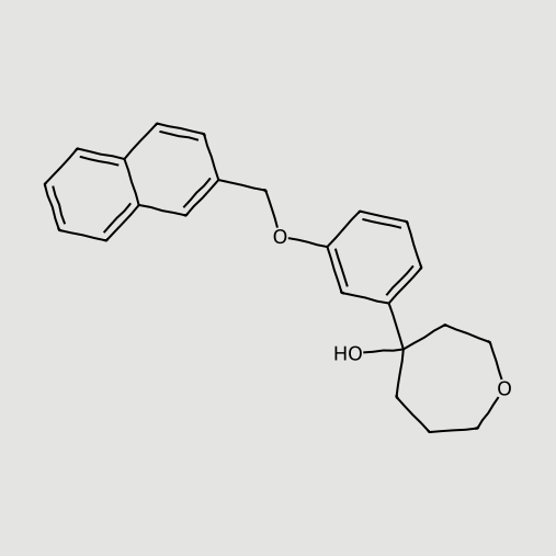 OC1(c2cccc(OCc3ccc4ccccc4c3)c2)CCCOCC1